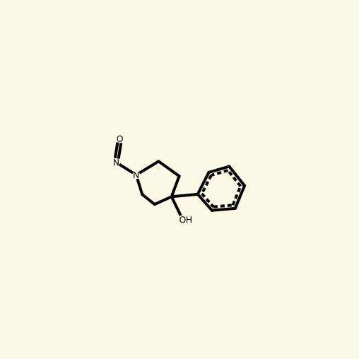 O=NN1CCC(O)(c2ccccc2)CC1